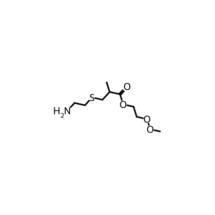 COOCCOC(=O)C(C)CSCCN